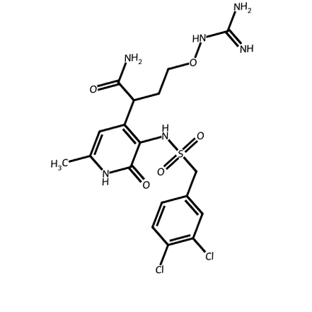 Cc1cc(C(CCONC(=N)N)C(N)=O)c(NS(=O)(=O)Cc2ccc(Cl)c(Cl)c2)c(=O)[nH]1